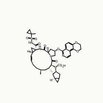 C[C@H]1CC/C=C\[C@@H]2C[C@@]2(C(=O)NS(=O)(=O)C2(C)CC2)NC(=O)[C@@H]2C[C@@H](Oc3nccc4c5c(ccc34)OCCO5)CN2C(=O)[C@@H](N(C(=O)O)[C@H]2CC3C[C@H]3C2)[C@H](C)C1